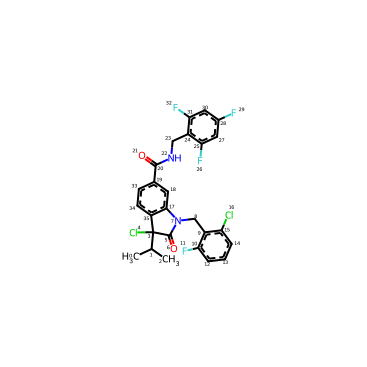 CC(C)C1(Cl)C(=O)N(Cc2c(F)cccc2Cl)c2cc(C(=O)NCc3c(F)cc(F)cc3F)ccc21